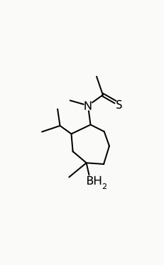 BC1(C)CCCC(N(C)C(C)=S)C(C(C)C)C1